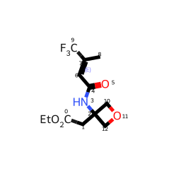 CCOC(=O)CC1(NC(=O)/C=C(\C)C(F)(F)F)COC1